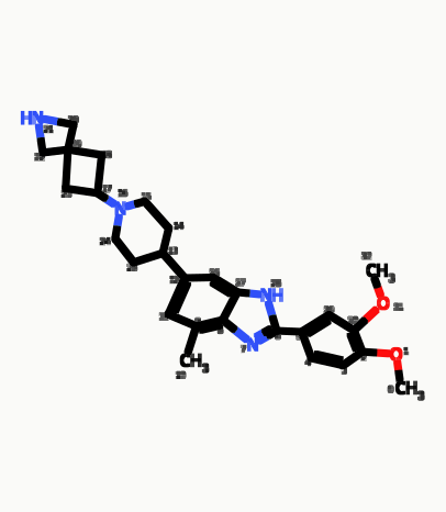 COc1ccc(-c2nc3c(C)cc(C4CCN(C5CC6(CNC6)C5)CC4)cc3[nH]2)cc1OC